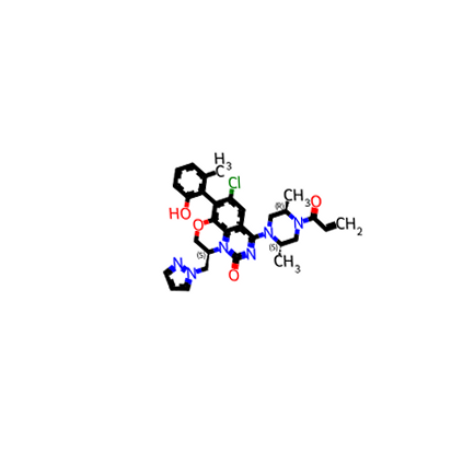 C=CC(=O)N1C[C@H](C)N(c2nc(=O)n3c4c(c(-c5c(C)cccc5O)c(Cl)cc24)OC[C@@H]3Cn2cccn2)C[C@H]1C